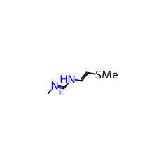 C/N=C/NC=CSC